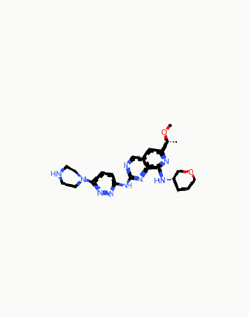 CO[C@H](C)c1cc2cnc(Nc3ccc(N4CCNCC4)nn3)nc2c(N[C@H]2CCCOC2)n1